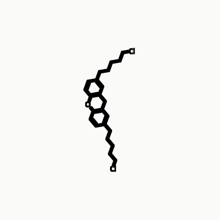 ClCCCCCc1ccc2c(c1)Cc1cc(CCCCCCl)ccc1O2